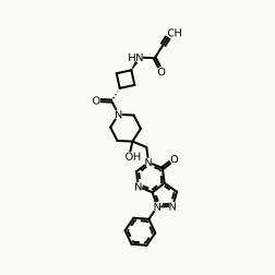 C#CC(=O)N[C@H]1C[C@H](C(=O)N2CCC(O)(Cn3cnc4c(cnn4-c4ccccc4)c3=O)CC2)C1